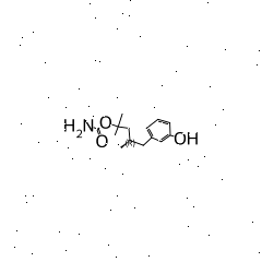 C[C@H](Cc1cccc(O)c1)CC(C)(C)OC(N)=O